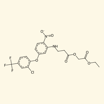 CCOC(=O)COC(=O)CCNc1cc(Oc2ccc(C(F)(F)F)cc2Cl)ccc1[N+](=O)[O-]